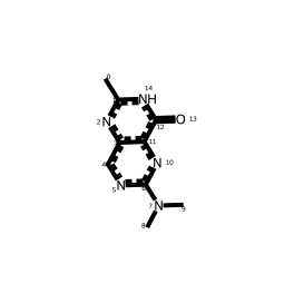 Cc1nc2cnc(N(C)C)nc2c(=O)[nH]1